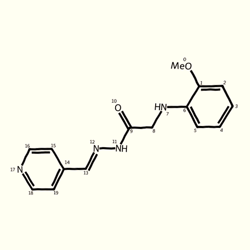 COc1ccccc1NCC(=O)N/N=C/c1ccncc1